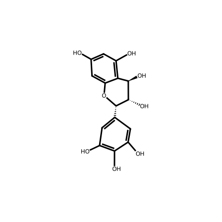 Oc1cc(O)c2c(c1)O[C@@H](c1cc(O)c(O)c(O)c1)[C@@H](O)[C@@H]2O